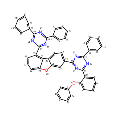 c1ccc(Oc2ccccc2-c2nc(-c3ccccc3)nc(-c3ccc4c(c3)oc3cccc(-c5nc(-c6ccccc6)nc(-c6ccccc6)n5)c34)n2)cc1